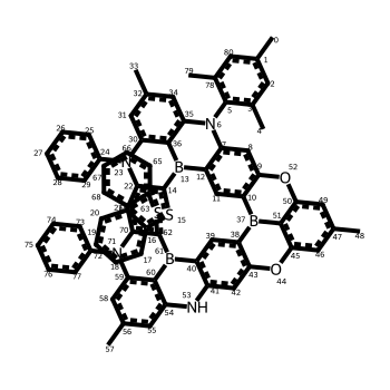 Cc1cc(C)c(N2c3cc4c(cc3B3c5sc6ccccc6c5N(c5ccccc5)c5cc(C)cc2c53)B2c3cc5c(cc3Oc3cc(C)cc(c32)O4)Nc2cc(C)cc3c2B5c2sc4ccccc4c2N3c2ccccc2)c(C)c1